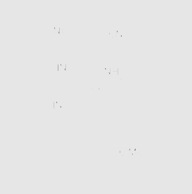 COc1cccc(NC(=O)NC(C#N)=C(N)C#N)c1